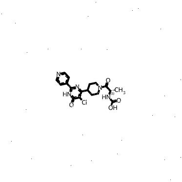 C[C@H](NC(=O)O)C(=O)N1CCC(c2nc(-c3ccncc3)[nH]c(=O)c2Cl)CC1